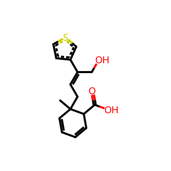 CC1(C/C=C(\CO)c2ccsc2)C=CC=CC1C(=O)O